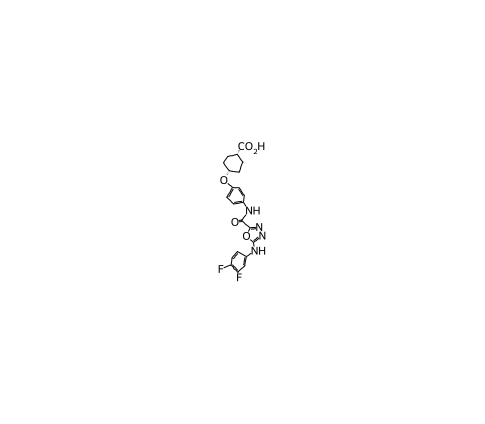 O=C(Nc1ccc(O[C@H]2CC[C@@H](C(=O)O)CC2)cc1)c1nnc(Nc2ccc(F)c(F)c2)o1